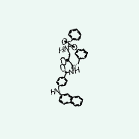 O=C(N[C@@H](Cc1ccccc1)C(=O)CNS(=O)(=O)c1ccccc1)c1ccc(Nc2ccc3ccccc3c2)cc1